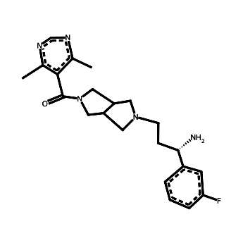 Cc1ncnc(C)c1C(=O)N1CC2CN(CC[C@H](N)c3cccc(F)c3)CC2C1